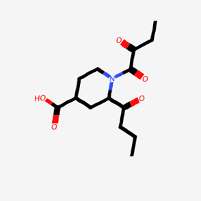 CCCC(=O)C1CC(C(=O)O)CCN1C(=O)C(=O)CC